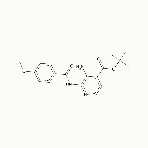 COc1ccc(C(=O)Nc2nccc(C(=O)OC(C)(C)C)c2N)cc1